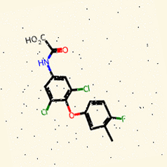 Cc1cc(Oc2c(Cl)cc(NC(=O)C(=O)O)cc2Cl)ccc1F